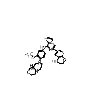 COc1cc(Nc2nc(-c3cnc4c(c3)NCCO4)cn3ccnc23)ccc1N1CCN2CCOC[C@@H]2C1